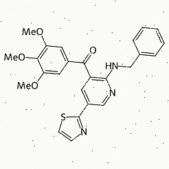 COc1cc(C(=O)c2cc(-c3nccs3)cnc2NCc2ccccc2)cc(OC)c1OC